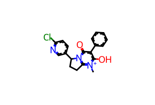 C[n+]1c(O)c(-c2ccccc2)c(=O)n2c1CCC2c1ccc(Cl)nc1